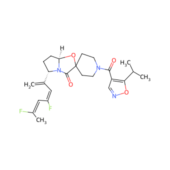 C=C(/C=C(F)\C=C(/C)F)[C@@H]1CC[C@H]2OC3(CCN(C(=O)c4cnoc4C(C)C)CC3)C(=O)N21